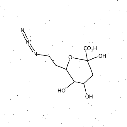 [N-]=[N+]=NCCC1OC(O)(C(=O)O)CC(O)C1O